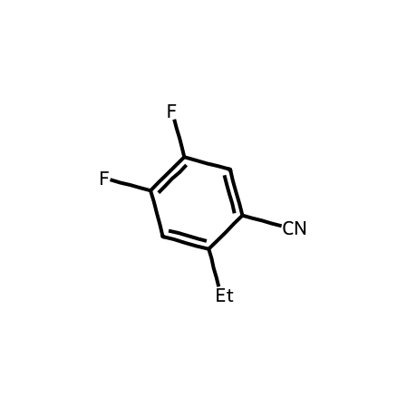 CCc1cc(F)c(F)cc1C#N